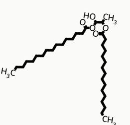 CCCCCCCCCCCCCCCC(=O)OC(C)C(O)OC(=O)CCCCCCCCCCCCCCC